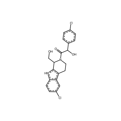 O=C(C(O)c1ccc(Cl)cc1)N1CCc2c([nH]c3ccc(Cl)cc23)C1CO